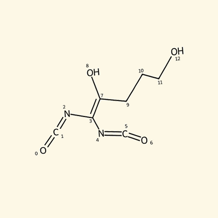 O=C=NC(N=C=O)=C(O)CCCO